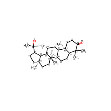 CC(C)(O)C1CC[C@]2(C)CC[C@]3(C)C(CCC4[C@@]5(C)CCC(=O)C(C)(C)C5CC[C@]43C)C12